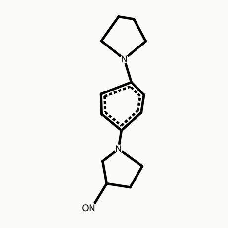 O=NC1CCN(c2ccc(N3CCCC3)cc2)C1